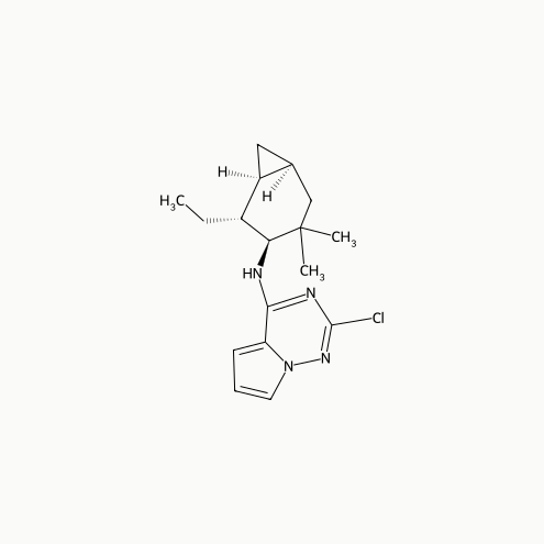 CC[C@@H]1[C@H]2C[C@H]2CC(C)(C)[C@H]1Nc1nc(Cl)nn2cccc12